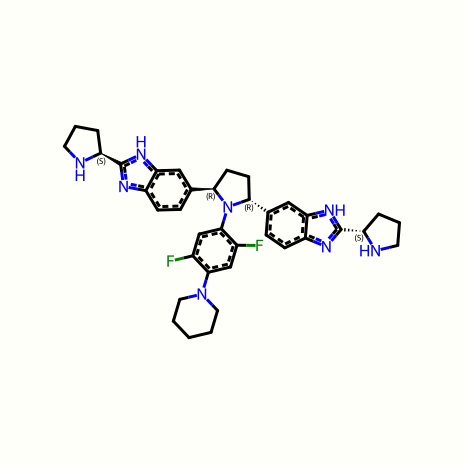 Fc1cc(N2[C@@H](c3ccc4nc([C@@H]5CCCN5)[nH]c4c3)CC[C@@H]2c2ccc3nc([C@@H]4CCCN4)[nH]c3c2)c(F)cc1N1CCCCC1